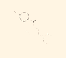 CCN(CC)CCOC(=O)c1ccc(N)cc1.CI.Cl